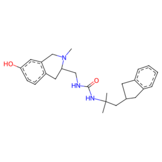 CN1Cc2cc(O)ccc2CC1CNC(=O)NC(C)(C)CC1Cc2ccccc2C1